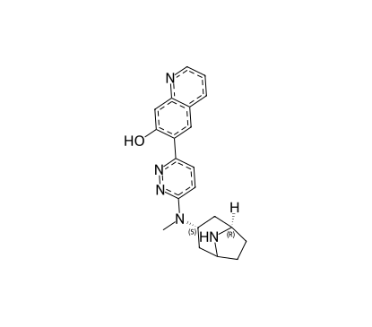 CN(c1ccc(-c2cc3cccnc3cc2O)nn1)[C@H]1CC2CC[C@H](C1)N2